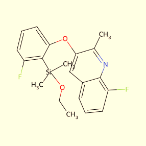 CCO[Si](C)(C)c1c(F)cccc1Oc1cc2cccc(F)c2nc1C